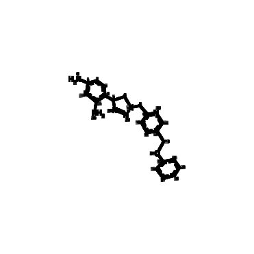 Nc1ccc(C2CN(Cc3ccc(COc4ccccc4)cn3)N=N2)c(N)n1